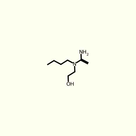 C=C(N)N(CCO)CCCC